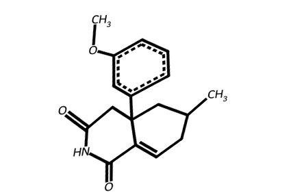 COc1cccc(C23CC(=O)NC(=O)C2=CCC(C)C3)c1